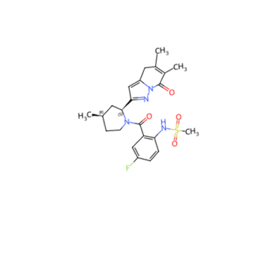 CC1=C(C)C(=O)n2nc([C@@H]3C[C@H](C)CCN3C(=O)c3cc(F)ccc3NS(C)(=O)=O)cc2C1